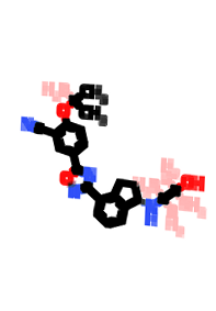 BC(C)(C)Oc1ccc(-c2nc(-c3cccc4c3CC[C@@H]4NC(B)(B)C(B)(B)O)no2)cc1C#N